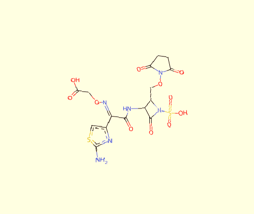 Nc1nc(/C(=N\OCC(=O)O)C(=O)NC2C(=O)N(S(=O)(=O)O)C2CON2C(=O)CCC2=O)cs1